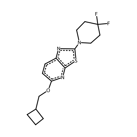 FC1(F)CCN(c2nc3ccc(OCC4CCC4)nc3s2)CC1